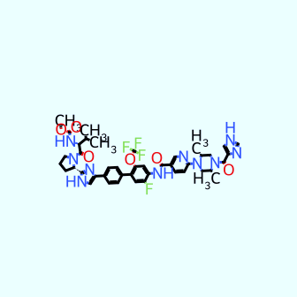 COC(=O)N[C@H](C(=O)N1CCC[C@H]1c1nc(-c2ccc(-c3cc(F)c(NC(=O)c4ccc(N5C[C@H](C)N(C(=O)c6c[nH]cn6)C[C@H]5C)nc4)cc3OC(F)(F)F)cc2)c[nH]1)C(C)C